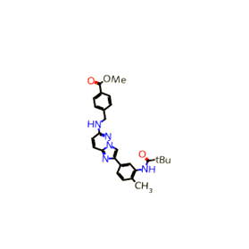 COC(=O)c1ccc(CNc2ccc3nc(-c4ccc(C)c(NC(=O)C(C)(C)C)c4)cn3n2)cc1